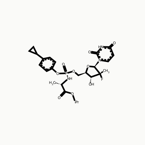 CC(C)OC(=O)[C@H](C)N[P@](=O)(OC[C@H]1O[C@@H](n2ccc(=O)[nH]c2=O)[C@](C)(F)[C@@H]1O)Oc1ccc(C2CC2)cc1